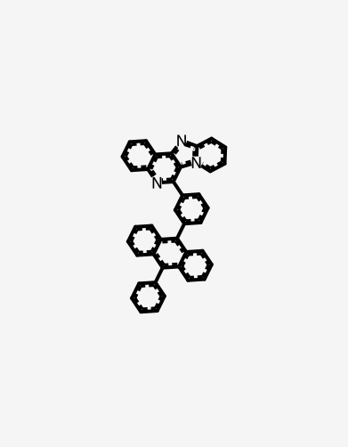 c1ccc(-c2c3ccccc3c(-c3cccc(-c4nc5ccccc5c5nc6ccccn6c45)c3)c3ccccc23)cc1